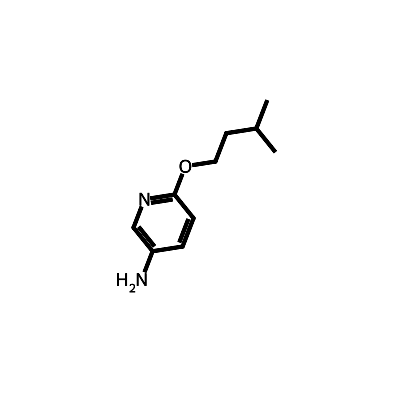 CC(C)CCOc1ccc(N)cn1